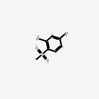 CCc1ccc(S(C)(=O)=O)c(Cl)c1